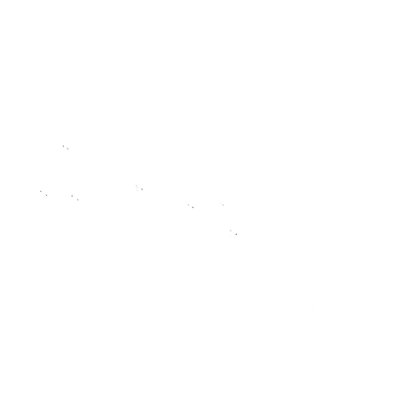 CC(C)c1cc(N2CCN(c3cccc(-c4nncn4C(C)C)n3)C2=O)ccc1S(C)(=O)=O